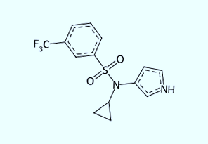 O=S(=O)(c1cccc(C(F)(F)F)c1)N(c1cc[nH]c1)C1CC1